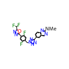 CNc1ncc2cc(-c3nnn(Cc4cc(F)c(-c5nnc(C(F)F)o5)cc4F)n3)ccc2n1